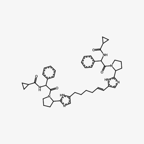 O=C(NC(C(=O)N1CCCC1c1ncc(C=CCCCCc2cnc(C3CCCN3C(=O)C(NC(=O)C3CC3)c3ccccc3)[nH]2)[nH]1)c1ccccc1)C1CC1